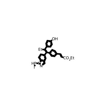 CCOC(=O)/C=C/c1ccc(/C(=C(/CC)c2ccc(O)cc2)c2ccc3c(cnn3PI)c2)cc1